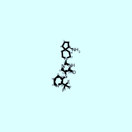 N[C@@H]1CCCC12CCN(c1ncc(Sc3cccnc3C(F)(F)F)c(=O)[nH]1)CC2